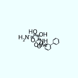 COC1O[C@H](CN)[C@@H](O)[C@H](O)[C@H]1NC(=O)c1cccc(-c2ccccc2)c1